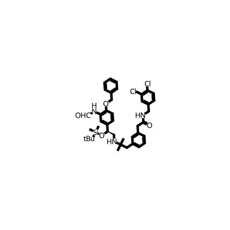 CC(C)(Cc1cccc(CC(=O)NCc2ccc(Cl)c(Cl)c2)c1)NC[C@@H](O[Si](C)(C)C(C)(C)C)c1ccc(OCc2ccccc2)c(NC=O)c1